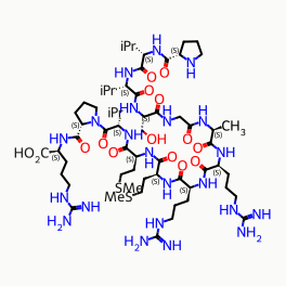 CSCC[C@H](NC(=O)[C@H](CCCNC(=N)N)NC(=O)[C@H](CCCNC(=N)N)NC(=O)[C@H](C)NC(=O)CNC(=O)[C@H](CO)NC(=O)[C@@H](NC(=O)[C@@H](NC(=O)[C@@H]1CCCN1)C(C)C)C(C)C)C(=O)N[C@@H](CCSC)C(=O)N[C@H](C(=O)N1CCC[C@H]1C(=O)N[C@@H](CCCNC(=N)N)C(=O)O)C(C)C